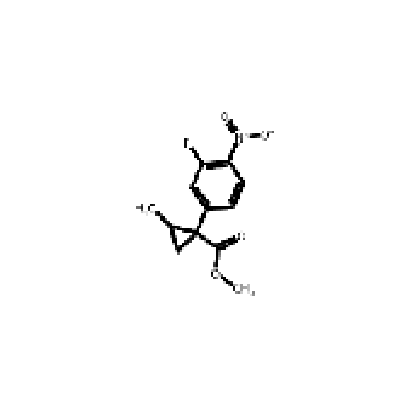 COC(=O)C1(c2ccc([N+](=O)[O-])c(F)c2)CC1C